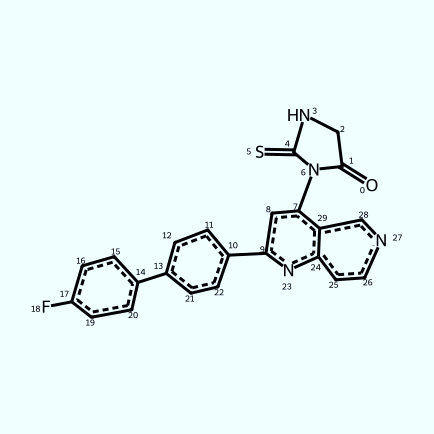 O=C1CNC(=S)N1c1cc(-c2ccc(-c3ccc(F)cc3)cc2)nc2ccncc12